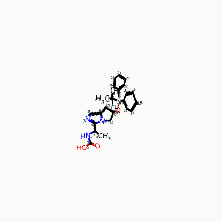 CC(NC(=O)O)c1ncc2n1CC(O[Si](c1ccccc1)(c1ccccc1)C(C)(C)C)C2